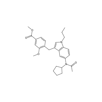 CCCn1cc(Cc2ccc(C(=O)OC)cc2OC)c2cc(N(C(C)=O)C3CCCC3)ccc21